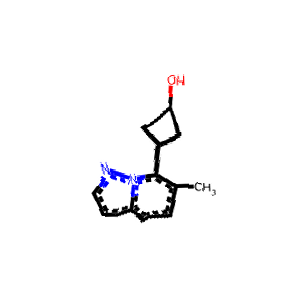 Cc1ccc2ccnn2c1C1CC(O)C1